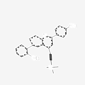 C[Si](C)(C)C#Cc1cc(-c2ccc(O)cc2)nc2ccc(-c3ccccc3O)cc12